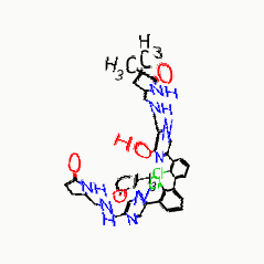 COc1nc(-c2cccc(-c3cccc(-c4cnc(CNCC5CC(C)(C)C(=O)N5)c(O)n4)c3Cl)c2Cl)cnc1CNCC1CCC(=O)N1